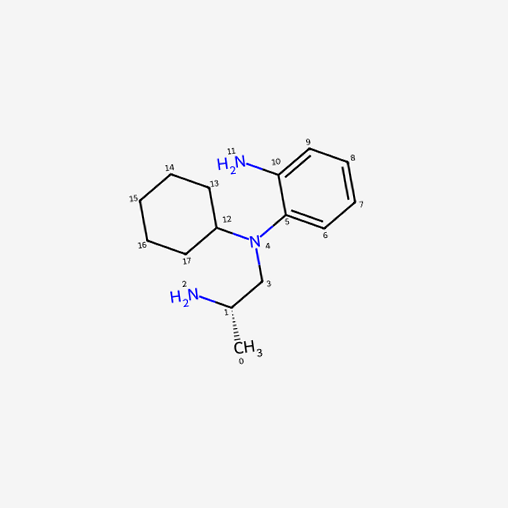 C[C@H](N)CN(c1ccccc1N)C1CCCCC1